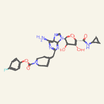 Nc1nc(CC2CCN(C(=O)Oc3ccc(F)cc3)CC2)nc2c1ncn2[C@@H]1O[C@H](C(=O)NC2CC2)[C@H](O)C1O